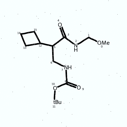 COCNC(=O)C(CNC(=O)OC(C)(C)C)C1CCC1